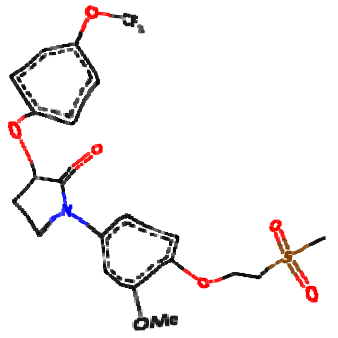 COc1cc(N2CCC(Oc3ccc(OC(F)(F)F)cc3)C2=O)ccc1OCCS(C)(=O)=O